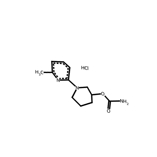 Cc1cccc(N2CCCC(OC(N)=O)C2)n1.Cl